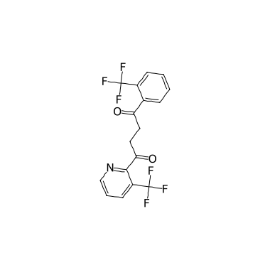 O=C(CCC(=O)c1ncccc1C(F)(F)F)c1ccccc1C(F)(F)F